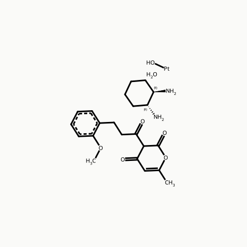 COc1ccccc1CCC(=O)C1C(=O)C=C(C)OC1=O.N[C@@H]1CCCC[C@H]1N.O.[OH][Pt]